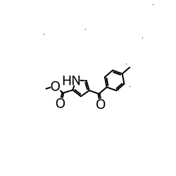 COC(=O)c1cc(C(=O)c2ccc(C)cc2)c[nH]1